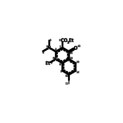 CCOC(=O)c1c(N(C)C)n(CC)c2cc(I)ccc2c1=O